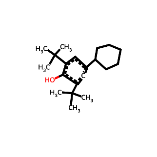 CC(C)(C)c1cc(C2CCCCC2)cc(C(C)(C)C)c1O